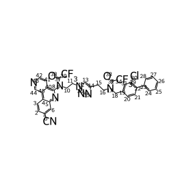 N#Cc1ccc2c(c1)nc(N(CCn1cc(CCN(Cc3ccc(-c4ccccc4)c(Cl)c3)C(=O)C(F)(F)F)nn1)C(=O)C(F)(F)F)c1ccncc12